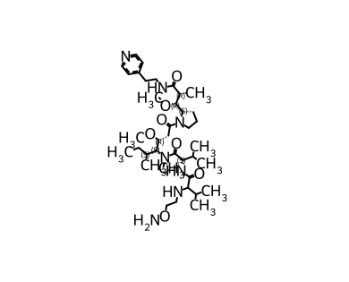 CC[C@H](C)[C@@H]([C@@H](CC(=O)N1CCC[C@H]1[C@H](OC)[C@@H](C)C(=O)NCCc1ccncc1)OC)N(C)C(=O)[C@@H](NC(=O)C(NCCON)C(C)C)C(C)C